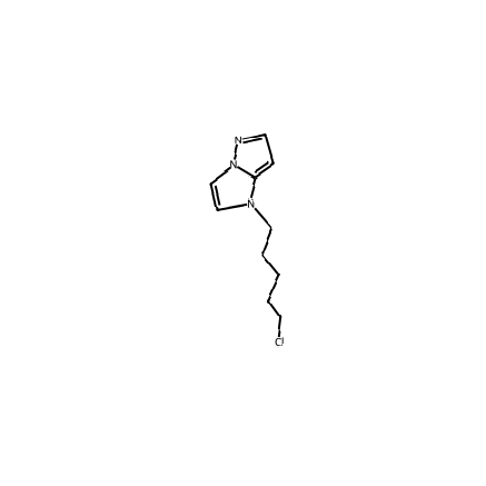 ClCCCCCn1ccn2nccc12